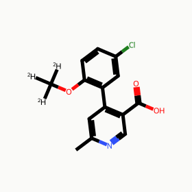 [2H]C([2H])([2H])Oc1ccc(Cl)cc1-c1cc(C)ncc1C(=O)O